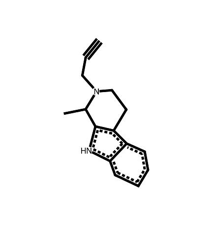 C#CCN1CCc2c([nH]c3ccccc23)C1C